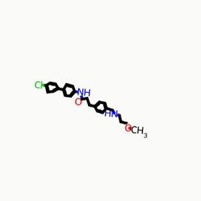 COCCCNCc1ccc(CCC(=O)Nc2ccc(-c3ccc(Cl)cc3)cc2)cc1